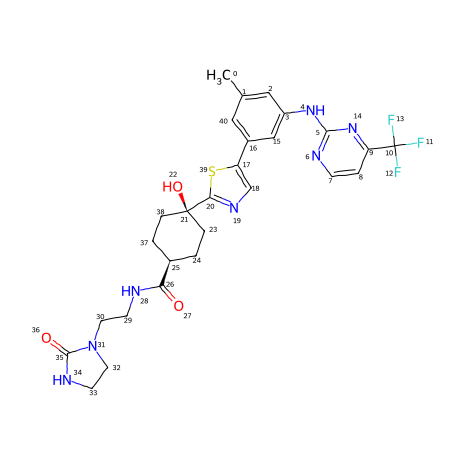 Cc1cc(Nc2nccc(C(F)(F)F)n2)cc(-c2cnc([C@]3(O)CC[C@@H](C(=O)NCCN4CCNC4=O)CC3)s2)c1